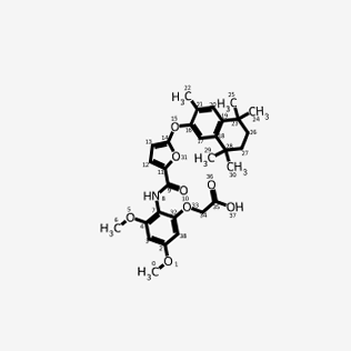 COc1cc(OC)c(NC(=O)c2ccc(Oc3cc4c(cc3C)C(C)(C)CCC4(C)C)o2)c(OCC(=O)O)c1